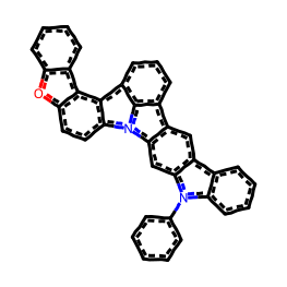 c1ccc(-n2c3ccccc3c3cc4c5cccc6c7c8c(ccc7n(c4cc32)c56)oc2ccccc28)cc1